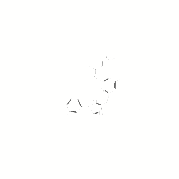 COCC(C)Nc1cc(C)cc(Nc2ncn(-c3cccc(C(F)(F)F)c3)n2)n1